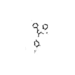 CCC(Oc1ccc(SCc2cc(-c3ccc(C(F)(F)F)cc3)oc2CN(C)c2ccccc2)cc1C)C(=O)O